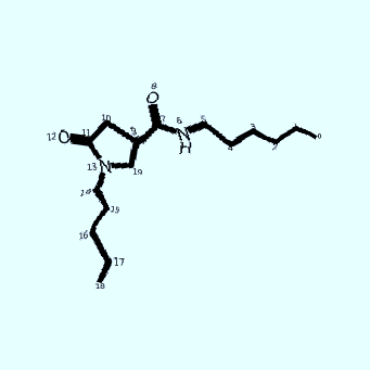 CCCCCCNC(=O)C1CC(=O)N(CCCCC)C1